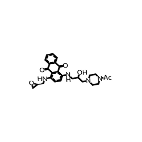 CC(=O)N1CCN(CC(O)CNc2ccc(NC[C@H]3CO3)c3c2C(=O)c2ccccc2C3=O)CC1